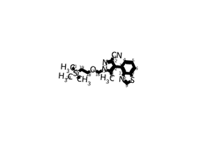 Cc1c(-c2cccc3scnc23)c(C#N)nn1COCC[Si](C)(C)C